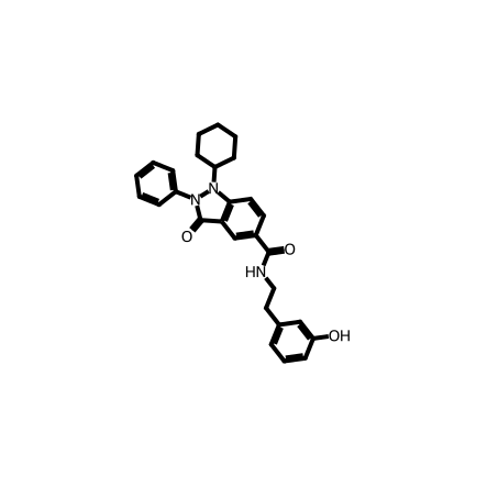 O=C(NCCc1cccc(O)c1)c1ccc2c(c1)c(=O)n(-c1ccccc1)n2C1CCCCC1